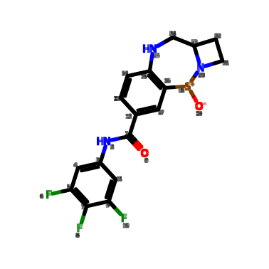 O=C(Nc1cc(F)c(F)c(F)c1)c1ccc2c(c1)[S+]([O-])N1CCC1CN2